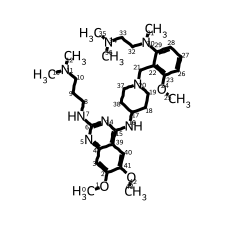 COc1cc2nc(NCCCN(C)C)nc(NC3CCN(Cc4c(OC)cccc4N(C)CCN(C)C)CC3)c2cc1OC